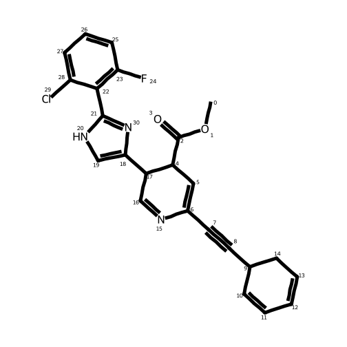 COC(=O)C1C=C(C#CC2C=CC=CC2)N=CC1c1c[nH]c(-c2c(F)cccc2Cl)n1